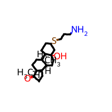 C[C@]12CC[C@H]3[C@@H](CC[C@@]4(O)C[C@H](SCCCN)CC[C@]34C)[C@@H]1CCC2=O